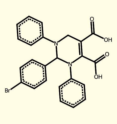 O=C(O)C1=C(C(=O)O)N(c2ccccc2)C(c2ccc(Br)cc2)N(c2ccccc2)C1